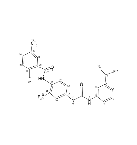 O=C(Nc1cccc(C(F)F)c1)Nc1ccc(NC(=O)c2cc(C(F)(F)F)ccc2F)c(C(F)(F)F)c1